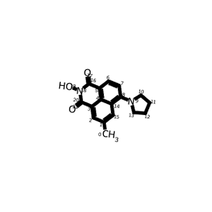 Cc1cc2c3c(ccc(N4CCCC4)c3c1)C(=O)N(O)C2=O